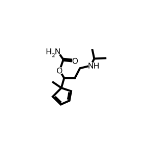 CC(C)NCCC(OC(N)=O)C1(C)C=CC=C1